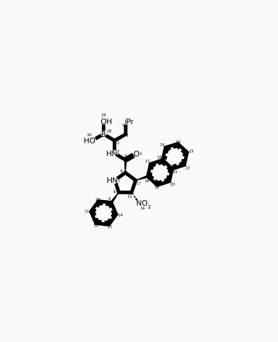 CC(C)CC(NC(=O)[C@@H]1N[C@H](c2ccccc2)[C@@H]([N+](=O)[O-])[C@@H]1c1ccc2ccccc2c1)B(O)O